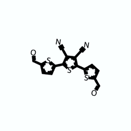 N#Cc1c(-c2ccc(C=O)s2)sc(-c2ccc(C=O)s2)c1C#N